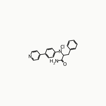 NC(=O)C(Cc1ccccc1)N(Cl)c1ccc(-c2ccncc2)cc1